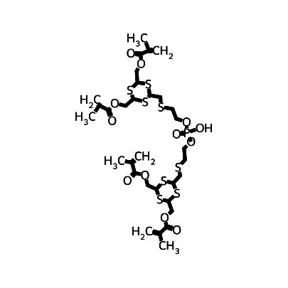 C=C(C)C(=O)OCC1SC(COC(=O)C(=C)C)SC(CSCCOP(=O)(O)OCCSCC2SC(COC(=O)C(=C)C)SC(COC(=O)C(=C)C)S2)S1